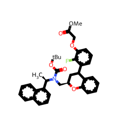 COC(=O)COc1cccc(C2C[C@H](CN(C(=O)OC(C)(C)C)[C@H](C)c3cccc4ccccc34)Oc3ccccc32)c1F